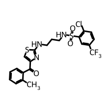 Cc1ccccc1C(=O)c1csc(NCCCNS(=O)(=O)c2cc(C(F)(F)F)ccc2Cl)n1